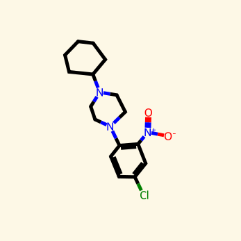 O=[N+]([O-])c1cc(Cl)ccc1N1CCN(C2CCCCC2)CC1